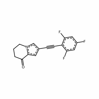 O=C1CCCn2cc(C#Cc3c(F)cc(F)cc3F)cc21